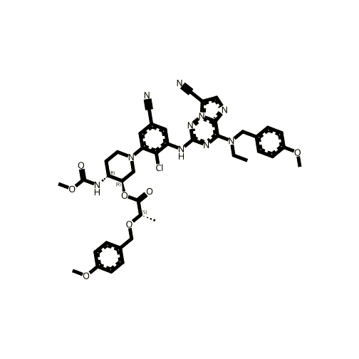 CCN(Cc1ccc(OC)cc1)c1nc(Nc2cc(C#N)cc(N3CC[C@@H](NC(=O)OC)[C@H](OC(=O)[C@H](C)OCc4ccc(OC)cc4)C3)c2Cl)nn2c(C#N)cnc12